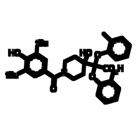 Cc1ccccc1OC(Oc1ccccc1C)(C(=O)O)C1(O)CCN(C(=O)c2cc(C(C)(C)C)c(O)c(C(C)(C)C)c2)CC1